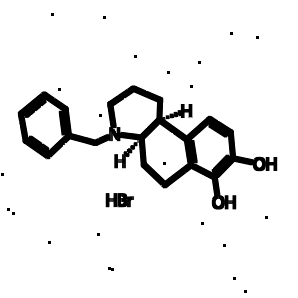 Br.Oc1ccc2c(c1O)CC[C@@H]1[C@H]2CCCN1Cc1ccccc1